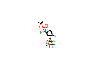 C=C(C)OC(=O)N(F)c1ccc(C)c(B2OC(C)(C)C(C)(C)O2)c1